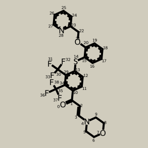 O=C(C=CN1CCOCC1)c1ccc(Sc2ccccc2OCc2ccccn2)c(C(F)(F)F)c1C(F)(F)F